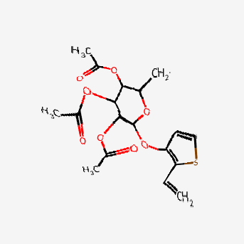 [CH2]C1OC(Oc2ccsc2C=C)C(OC(C)=O)C(OC(C)=O)C1OC(C)=O